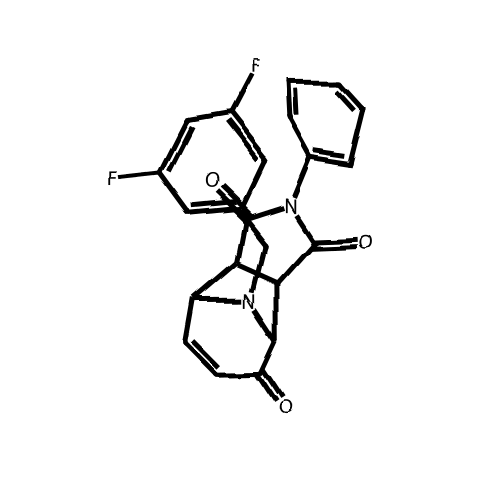 O=C1C=CC2C3C(=O)N(c4ccccc4)C(=O)C3C1N2Cc1cc(F)cc(F)c1